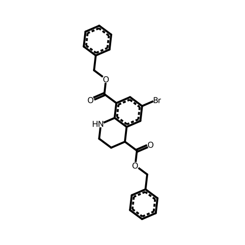 O=C(OCc1ccccc1)c1cc(Br)cc2c1NCCC2C(=O)OCc1ccccc1